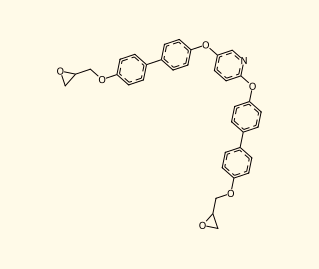 c1cc(-c2ccc(Oc3ccc(Oc4ccc(-c5ccc(OCC6CO6)cc5)cc4)nc3)cc2)ccc1OCC1CO1